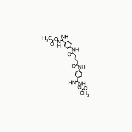 CC(=O)ONC(=N)c1ccc(NC(=O)CCCC(=O)Nc2ccc(C(=N)NOC(C)=O)cc2)cc1